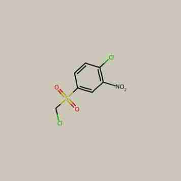 O=[N+]([O-])c1cc(S(=O)(=O)CCl)ccc1Cl